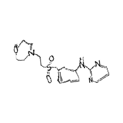 O=S(=O)(CCN1CCOCC1)c1cccc(Nc2ncccn2)c1